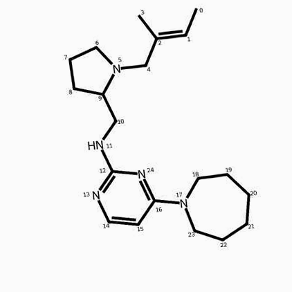 C/C=C(\C)CN1CCCC1CNc1nccc(N2CCCCCC2)n1